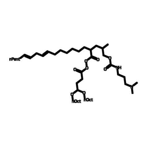 CCCCCC=CCC=CCCCCCCC(CC(C)COC(=O)NCCCN(C)C)C(=O)OOC(=O)CCC(OCCCCCCCC)OCCCCCCCC